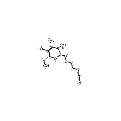 [N-]=[N+]=NCCOO[C@H]1O[C@H](CO)[C@@H](O)[C@H](O)[C@@H]1O